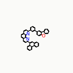 c1cc(-c2ccc3oc4ccccc4c3c2)cc(-c2ccc3ccc4ccc(-c5cc6ccccc6c6ccccc56)nc4c3n2)c1